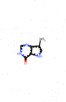 O=c1[nH]cnc2c([N+](=O)[O-])c[nH]c12